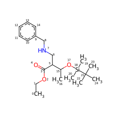 CCOC(=O)C(CNCc1ccccc1)C(C)O[Si](C)(C)C(C)(C)C